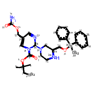 CC(C)(C)CC(C)(C)OC(=O)N1C=C(COC(N)=O)C=N[C@H]1N1CCNC(CO[Si](c2ccccc2)(c2ccccc2)C(C)(C)C)C1